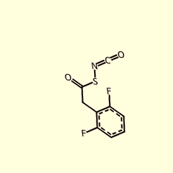 O=C=NSC(=O)Cc1c(F)cccc1F